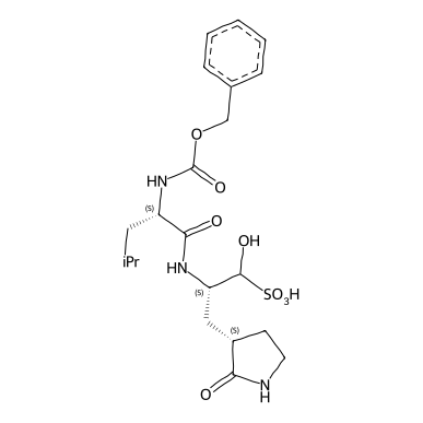 CC(C)C[C@H](NC(=O)OCc1ccccc1)C(=O)N[C@@H](C[C@@H]1CCNC1=O)C(O)S(=O)(=O)O